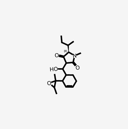 CCC(C)[C@@H]1C(=O)C(C(O)C2CCC=CC2C2(C)OC2C)C(=O)N1C